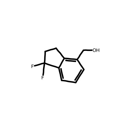 OCc1cccc2c1CCC2(F)F